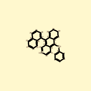 C1=c2c(Sc3ccccc3)c3ccncc3c(-c3cccc4ccccc34)c2=CCC1